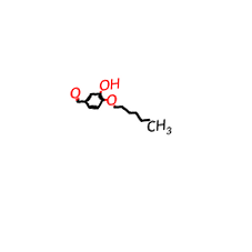 CCCCCCCOc1ccc(C=O)cc1O